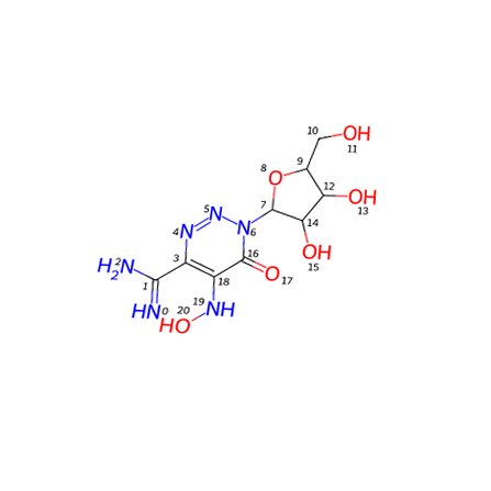 N=C(N)c1nnn(C2OC(CO)C(O)C2O)c(=O)c1NO